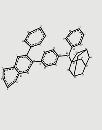 c1ccc(-c2cc3ccccc3cc2-c2ccc(N(c3ccccc3)C34CC5CC(CC(C5)C3)C4)cc2)cc1